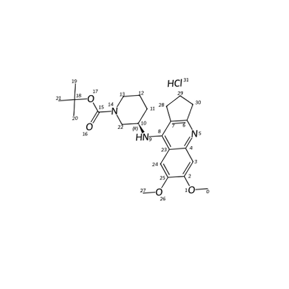 COc1cc2nc3c(c(N[C@@H]4CCCN(C(=O)OC(C)(C)C)C4)c2cc1OC)CCC3.Cl